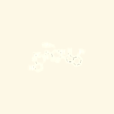 CC(C)c1cccc2cc(C(=O)N[C@@H](CC(C)(C)C)C(=O)N[C@H](C#N)C[C@@H]3CCNC3=O)[nH]c12